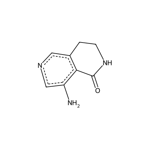 Nc1cncc2c1C(=O)NCC2